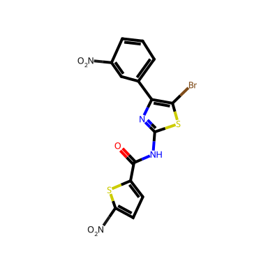 O=C(Nc1nc(-c2cccc([N+](=O)[O-])c2)c(Br)s1)c1ccc([N+](=O)[O-])s1